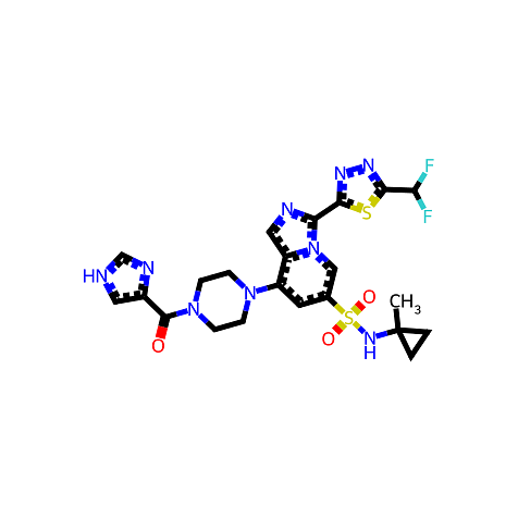 CC1(NS(=O)(=O)c2cc(N3CCN(C(=O)c4c[nH]cn4)CC3)c3cnc(-c4nnc(C(F)F)s4)n3c2)CC1